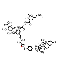 CC(=O)N[C@@H](CCCCN)C(=O)NCCC(=O)Nc1cc(COC(=O)NC23CC(Oc4ccc([C@@H]5O[C@@H]6C[C@H]7[C@@H]8CCC9=CC(=O)C=C[C@]9(C)[C@H]8[C@@H](O)C[C@]7(C)[C@]6(C(=O)CO)O5)cc4)(C2)C3)ccc1O[C@@H]1O[C@H](C(=O)O)[C@@H](O)[C@H](O)[C@H]1O